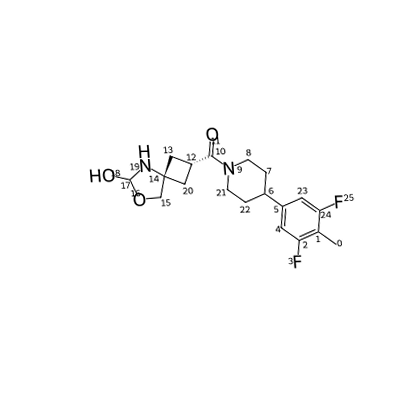 Cc1c(F)cc(C2CCN(C(=O)[C@H]3C[C@]4(COC(O)N4)C3)CC2)cc1F